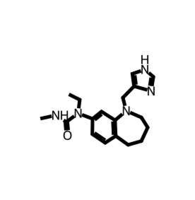 CCN(C(=O)NC)c1ccc2c(c1)N(Cc1c[nH]cn1)CCCC2